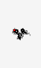 COC1(C(F)(F)F)CCCC(NC(=O)[C@@H]2C[C@H]3C[C@H]3N2C(=O)Cn2nc(C(N)=O)c3ccccc32)C1